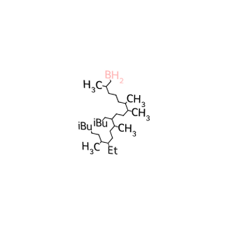 BCC(C)CCCC(C)C(C)CCC(CC(C)CC)C(C)CCC(CC)C(C)CC[C@H](C)CC